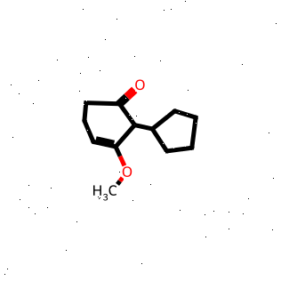 COC1=CCCC(=O)C1C1CCCC1